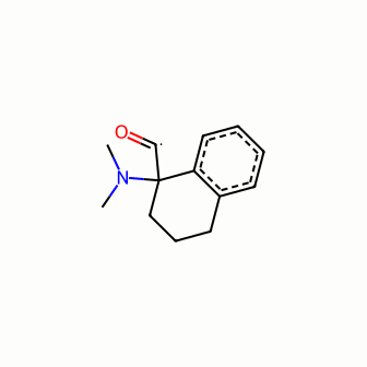 CN(C)C1([C]=O)CCCc2ccccc21